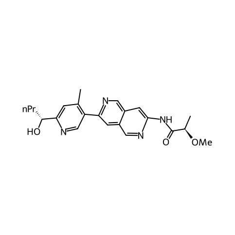 CCC[C@@H](O)c1cc(C)c(-c2cc3cnc(NC(=O)[C@@H](C)OC)cc3cn2)cn1